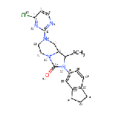 CC1C2CN(c3nccc(Cl)n3)CCN2C(=O)N1c1ccc2c(c1)CCC2